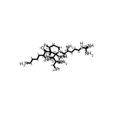 CC(=O)C1(C(=O)C(N)CCCCN)C(F)CCN(C(=O)C(N)CCCNC(=N)N)C1(B(O)O)C(=O)C(N)CC(C)C